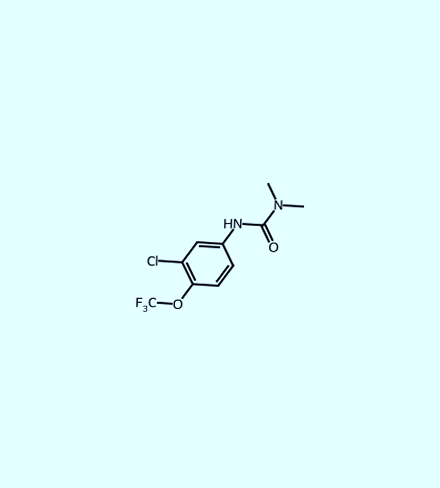 CN(C)C(=O)Nc1ccc(OC(F)(F)F)c(Cl)c1